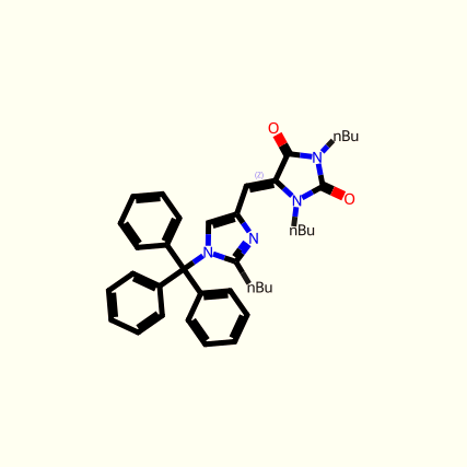 CCCCc1nc(/C=C2/C(=O)N(CCCC)C(=O)N2CCCC)cn1C(c1ccccc1)(c1ccccc1)c1ccccc1